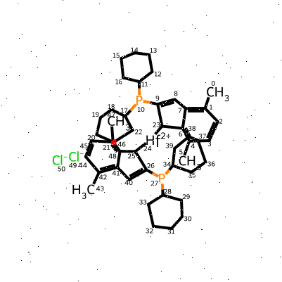 Cc1ccc(C)c2c1C=C(P(C1CCCCC1)C1CCCCC1)[CH]2[Hf+2][CH]1C(P(C2CCCCC2)C2CCCCC2)=Cc2c(C)ccc(C)c21.[Cl-].[Cl-]